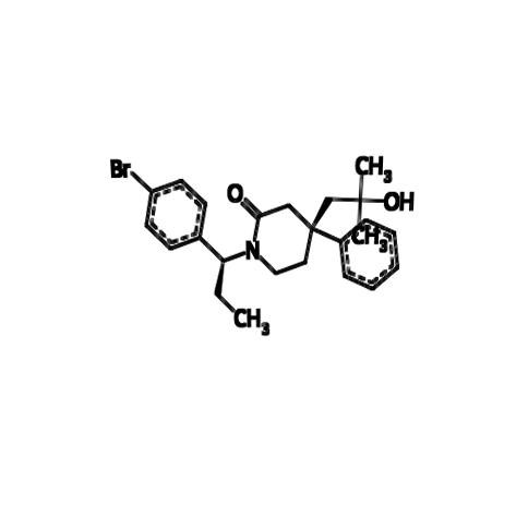 CC[C@@H](c1ccc(Br)cc1)N1CC[C@@](CC(C)(C)O)(c2ccccc2)CC1=O